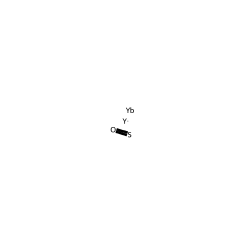 O=S.[Y].[Yb]